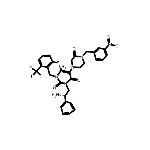 Cc1c(N2CCN(Cc3cccc([N+](=O)[O-])c3)C(=O)C2)c(=O)n(C[C@@H](N)c2ccccc2)c(=O)n1Cc1c(F)cccc1C(F)(F)F